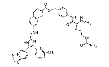 CN[C@@H](CCCNC(N)=O)C(=O)Nc1ccc(COC(=O)N2CCc3ccc(NCc4nc(-c5cccc(C)n5)c(-c5ccc6ncnn6c5)[nH]4)cc3C2)cc1